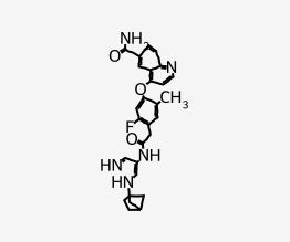 Cc1cc(CC(=O)N/C(C=N)=C/NC23CCC(C2)C3)c(F)cc1Oc1ccnc2ccc(C(N)=O)cc12